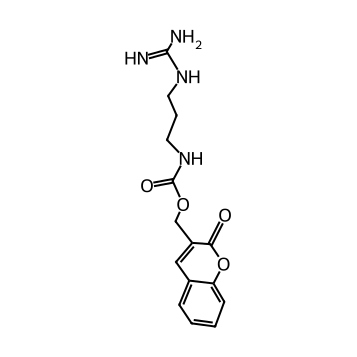 N=C(N)NCCCNC(=O)OCc1cc2ccccc2oc1=O